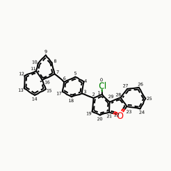 Clc1c(-c2ccc(-c3cccc4ccccc34)cc2)ccc2oc3ccccc3c12